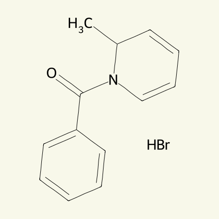 Br.CC1C=CC=CN1C(=O)c1ccccc1